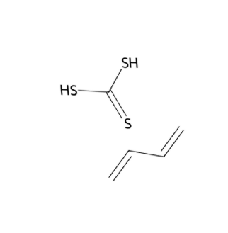 C=CC=C.S=C(S)S